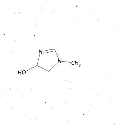 CN1C=NC(O)C1